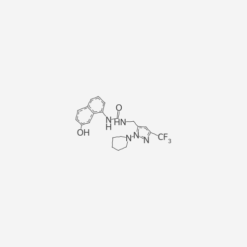 O=C(NCc1cc(C(F)(F)F)nn1N1CCCCC1)Nc1cccc2ccc(O)cc12